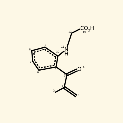 C=C(C)C(=O)c1ccccc1NCC(=O)O